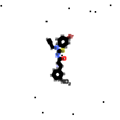 C#CCn1/c(=N/C(=O)/C=C/c2cccc([N+](=O)[O-])c2)sc2cc(Br)ccc21